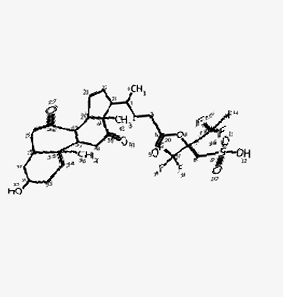 CC(CCC(=O)OC(CS(=O)(=O)O)(C(F)(F)F)C(F)(F)F)C1CCC2C3C(=O)CC4CC(O)CCC4(C)C3CC(=O)C12C